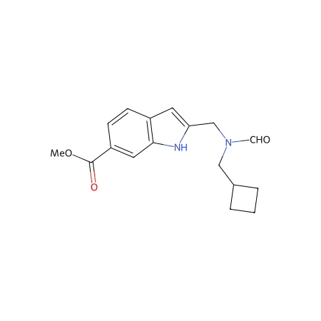 COC(=O)c1ccc2cc(CN(C=O)CC3CCC3)[nH]c2c1